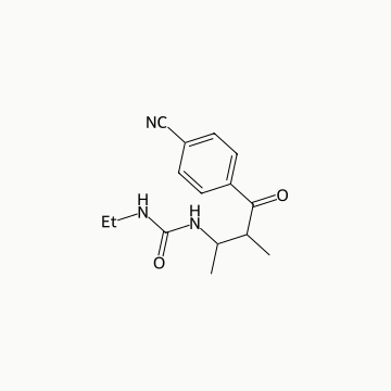 CCNC(=O)NC(C)C(C)C(=O)c1ccc(C#N)cc1